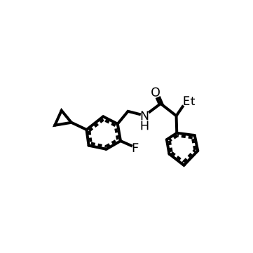 CCC(C(=O)NCc1cc(C2CC2)ccc1F)c1ccccc1